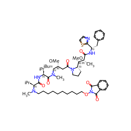 CC[C@H](C)[C@@H]([C@@H](CC(=O)N1CCC[C@H]1[C@H](OC)[C@@H](C)C(=O)N[C@@H](Cc1ccccc1)c1nccs1)OC)N(C)C(=O)[C@@H](NC(=O)[C@H](C(C)C)N(C)CCCCCCCCCCON1C(=O)c2ccccc2C1=O)C(C)C